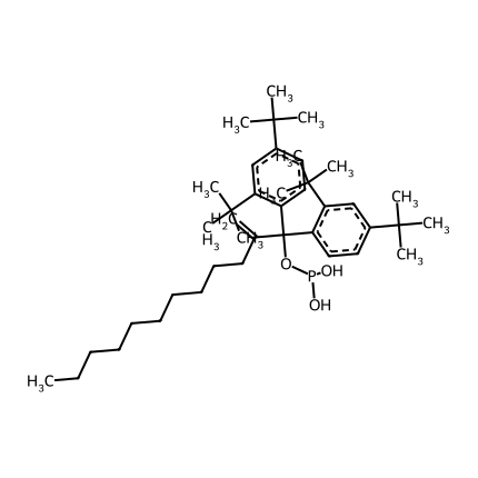 C=C(CCCCCCCCCC)C(OP(O)O)(c1ccc(C(C)(C)C)cc1C(C)(C)C)c1ccc(C(C)(C)C)cc1C(C)(C)C